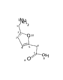 NCc1ccc(CC(=O)O)o1